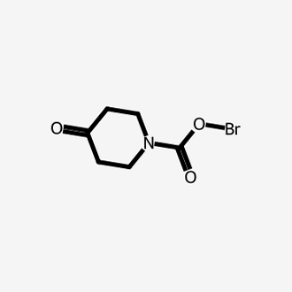 O=C1CCN(C(=O)OBr)CC1